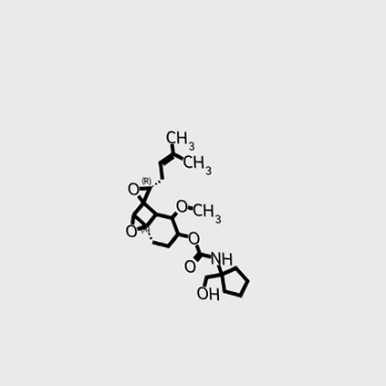 COC1C(OC(=O)NC2(CO)CCCC2)CC[C@]23OC2C2(O[C@@H]2CC=C(C)C)C13